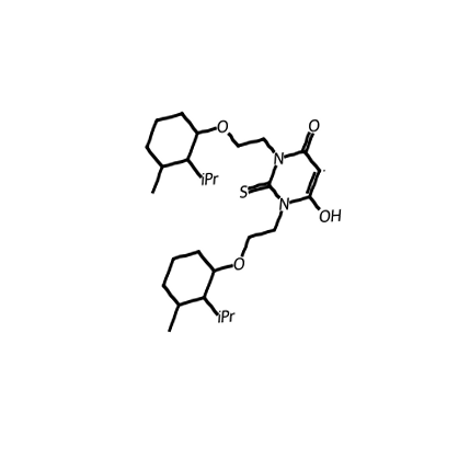 CC(C)C1C(C)CCCC1OCCn1c(O)[c]c(=O)n(CCOC2CCCC(C)C2C(C)C)c1=S